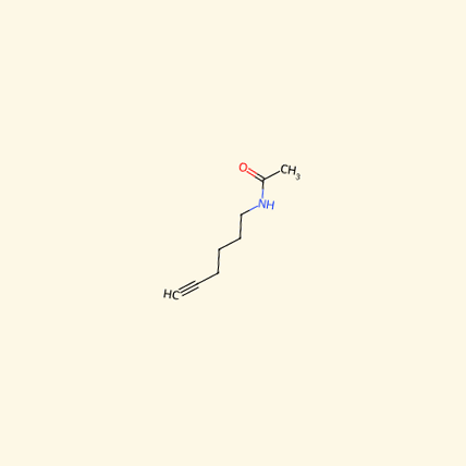 C#CCCCCNC(C)=O